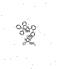 CCCCc1nc(Cl)c(N)n1Cc1ccc(-c2ccccc2-c2nnn(C(c3ccccc3)(c3ccccc3)c3ccccc3)n2)cc1